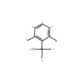 Cc1ncnc(C)c1C(F)(F)F